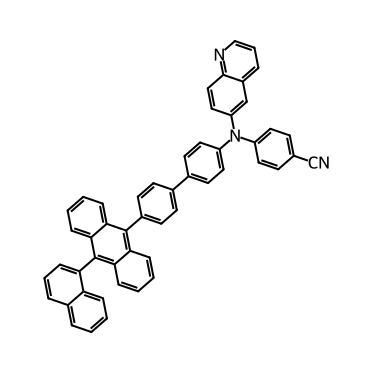 N#Cc1ccc(N(c2ccc(-c3ccc(-c4c5ccccc5c(-c5cccc6ccccc56)c5ccccc45)cc3)cc2)c2ccc3ncccc3c2)cc1